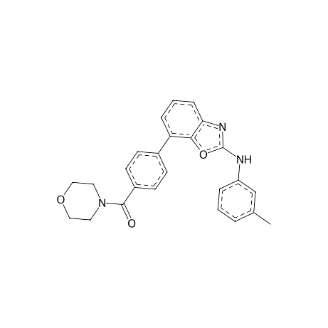 Cc1cccc(Nc2nc3cccc(-c4ccc(C(=O)N5CCOCC5)cc4)c3o2)c1